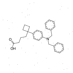 O=C(O)CCCC1(c2ccc(N(Cc3ccccc3)Cc3ccccc3)cc2)CCC1